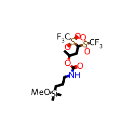 CO[Si](C)(C)CCCNC(=O)OC(C)CC(S(=O)(=O)C(F)(F)F)S(=O)(=O)C(F)(F)F